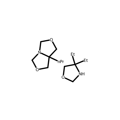 CCC1(CC)COCN1.CCCC12COCN1COC2